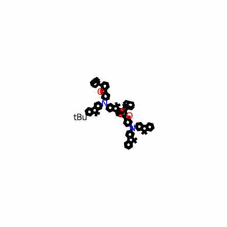 CC(C)(C)c1ccc2c(c1)C(C)(C)c1cc(N(c3ccc4c(c3)C(C)(C)c3c-4cccc3C3C4CC5CC(C4)CC3(c3cccc4c3oc3cc(N(c6ccc7c(c6)C(C)(C)c6ccccc6-7)c6ccc7c(c6)C(C)(C)c6ccccc6-7)ccc34)C5)c3ccc4c(c3)oc3c(C56CC7CC(CC5C7)C6)cccc34)ccc1-2